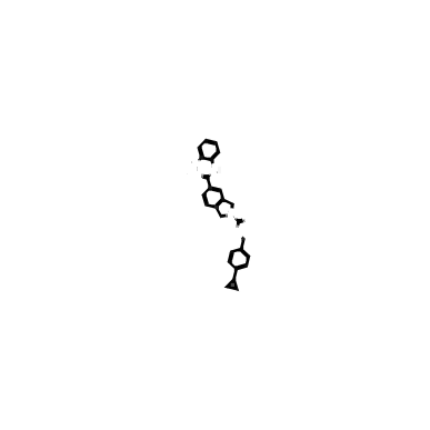 Nc1ccccc1NC(=O)c1ccc2c(c1)CN(C(=O)OCc1ccc(C3CC3)cc1)C2